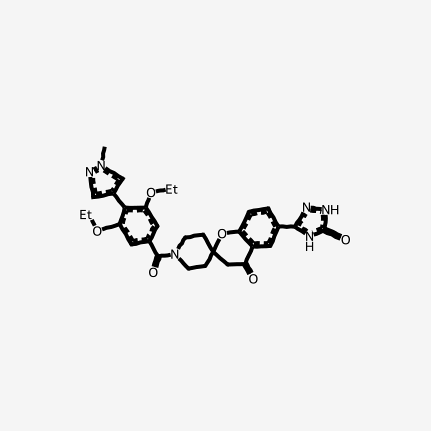 CCOc1cc(C(=O)N2CCC3(CC2)CC(=O)c2cc(-c4n[nH]c(=O)[nH]4)ccc2O3)cc(OCC)c1-c1cnn(C)c1